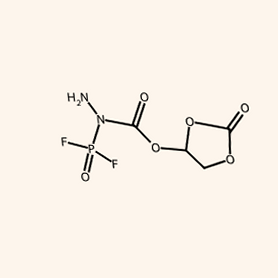 NN(C(=O)OC1COC(=O)O1)P(=O)(F)F